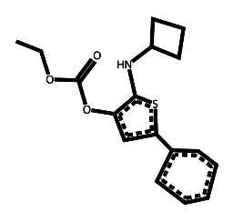 CCOC(=O)Oc1cc(-c2ccccc2)sc1NC1CCC1